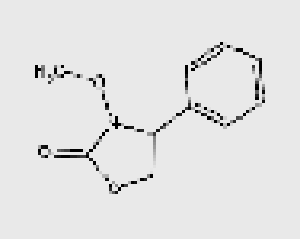 CON1C(=O)OCC1c1ccccc1